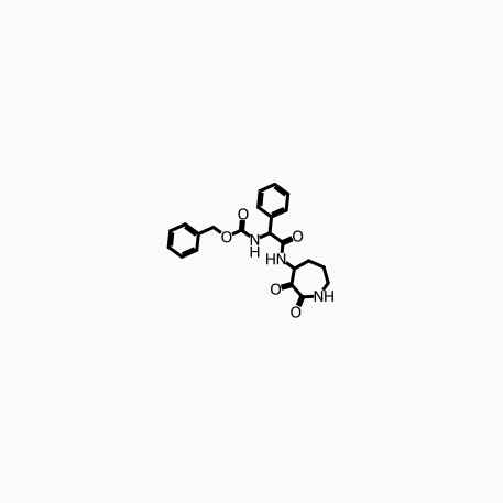 O=C(NC(C(=O)NC1CCCNC(=O)C1=O)c1ccccc1)OCc1ccccc1